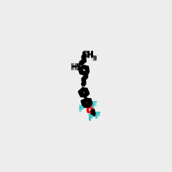 CCCC[SiH]1CCC(CCCC[C@H]2CC[C@H](c3cc(F)c(OC=C(F)F)c(F)c3)CC2)CC1